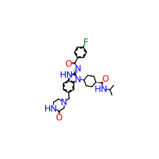 CC(C)NC(=O)[C@H]1CC[C@@H](n2/c(=N/C(=O)c3ccc(F)cc3)[nH]c3ccc(CN4CCNC(=O)C4)cc32)CC1